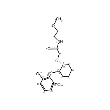 COCCNC(=O)CS[C@@H]1CCCC[C@H]1Sc1c(Cl)cccc1Cl